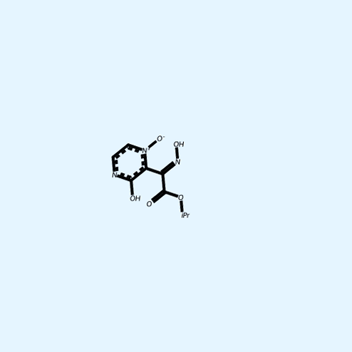 CC(C)OC(=O)/C(=N/O)c1c(O)ncc[n+]1[O-]